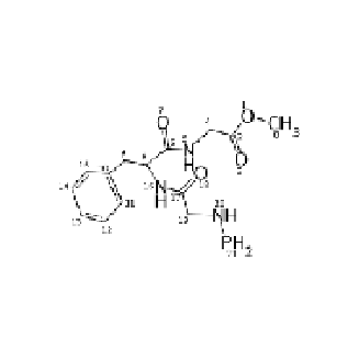 COC(=O)CNC(=O)C(Cc1ccccc1)NC(=O)CNP